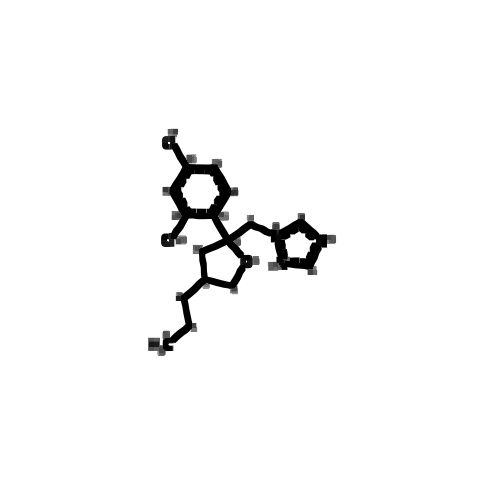 CCCC1COC(Cn2cncn2)(c2ccc(Cl)cc2Cl)C1